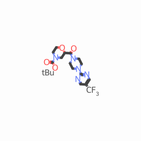 CC(C)(C)OC(=O)N1CCOC(C(=O)N2CCN(c3ncc(C(F)(F)F)cn3)CC2)C1